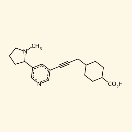 CN1CCCC1c1cncc(C#CCC2CCC(C(=O)O)CC2)c1